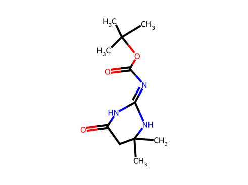 CC1(C)CC(=O)N/C(=N\C(=O)OC(C)(C)C)N1